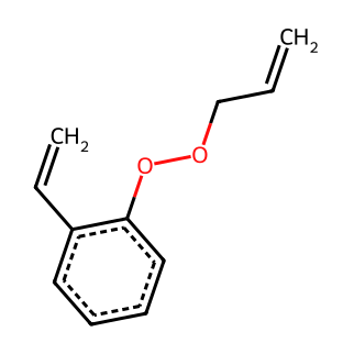 C=CCOOc1ccccc1C=C